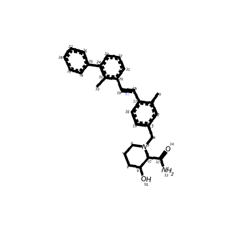 Cc1cc(CN2CCCC(O)C2C(N)=O)ccc1/C=C/c1cccc(-c2ccccc2)c1C